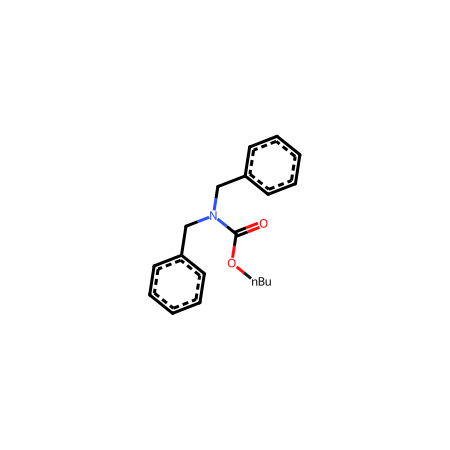 CCCCOC(=O)N(Cc1ccccc1)Cc1ccccc1